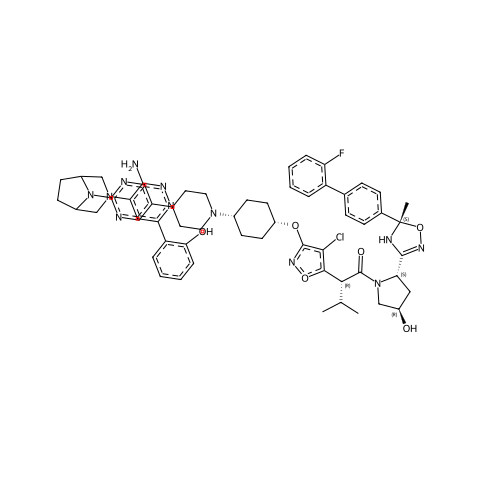 CC(C)[C@@H](C(=O)N1C[C@H](O)C[C@H]1C1=NO[C@@](C)(c2ccc(-c3ccccc3F)cc2)N1)c1onc(O[C@H]2CC[C@@H](N3CCC(c4cnc(N5C6CCC5CN(c5cc(-c7ccccc7O)nnc5N)C6)nc4)CC3)CC2)c1Cl